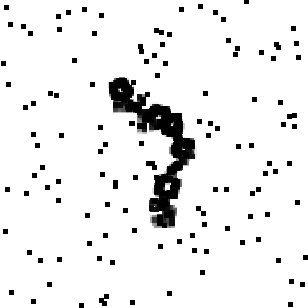 CC(C)(C)OC(=O)N1CCN(CCn2cc(-c3cnc4ccc(NC(=S)NC5CCCC5)nc4c3)cn2)CC1